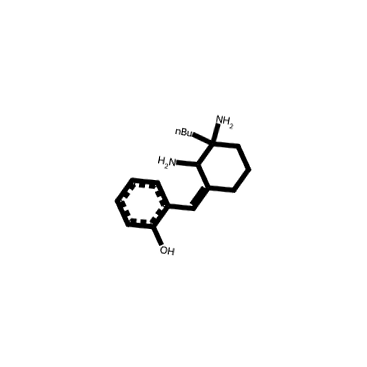 CCCCC1(N)CCCC(=Cc2ccccc2O)C1N